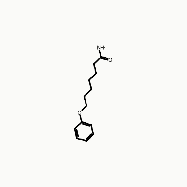 [NH]C(=O)CCCCCCOc1ccccc1